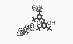 CC(C)(C)c1cc(Cc2cc(C(C)(C)C)cc(C(C)(C)C)c2O)c(O)c(C(C)(C)C)c1.O=P([O-])([O-])[O-].O=P([O-])([O-])[O-].[Ca+2].[Ca+2].[Ca+2]